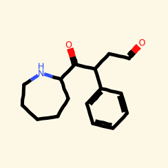 O=CCC(C(=O)C1CCCCCN1)c1ccccc1